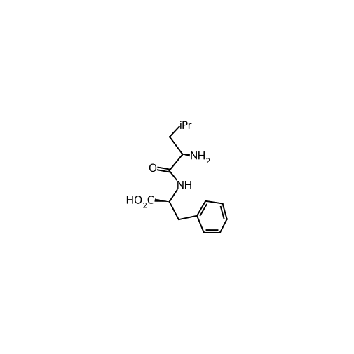 CC(C)C[C@@H](N)C(=O)N[C@@H](Cc1ccccc1)C(=O)O